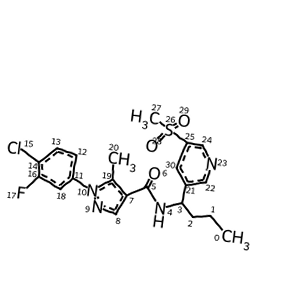 CCCC(NC(=O)c1cnn(-c2ccc(Cl)c(F)c2)c1C)c1cncc(S(C)(=O)=O)c1